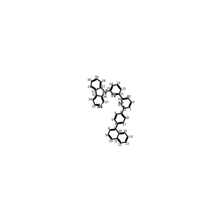 c1cc(-c2ccc(-c3cccc4ccccc34)cc2)nc(-c2cccc(-n3c4ccccc4c4ccncc43)n2)c1